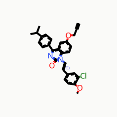 C#CCOc1ccc2c(c1)c(-c1ccc(C(C)C)cc1)nc(=O)n2/C=C/c1ccc(OC)c(Cl)c1